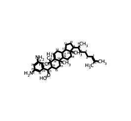 CC(C)=CCCCC(C)C1CCC2C3CC=C4C(C)(C)C(C(OO)c5cc(N)cc(N)c5)CCC4(C)C3CCC12C